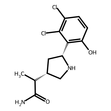 CC(C(N)=O)[C@H]1CN[C@@H](c2c(O)ccc(Cl)c2Cl)C1